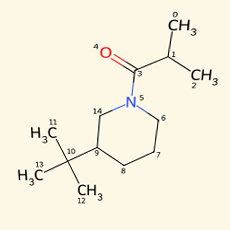 CC(C)C(=O)N1CCCC(C(C)(C)C)C1